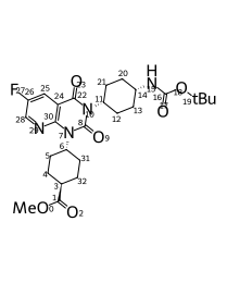 COC(=O)[C@H]1CC[C@H](n2c(=O)n([C@H]3CC[C@@H](NC(=O)OC(C)(C)C)CC3)c(=O)c3cc(F)cnc32)CC1